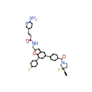 C#C[C@]1(F)CCN(C(=O)c2ccc(-c3cc(-c4ccc(F)cc4)c4oc(CNC(=O)/C=C/c5ccc(N)nc5)cc4c3)cc2)C1